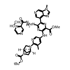 CNc1nc(Nc2cnc(N3C[C@H]4C[C@@H]3CN4C(=O)OC(C)(C)C)c(C)c2)c(C(=O)OC)nc1-c1cncc2c1ncn2C.NC(=O)c1cnccn1.O=CO